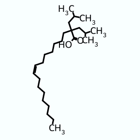 CCCCCCCC/C=C\CCCCCCC(CC(C)C)(CC(C)C)C(=O)O